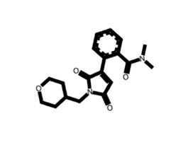 CN(C)C(=O)c1ccccc1C1=CC(=O)N(CC2CCOCC2)C1=O